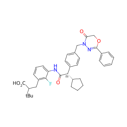 CC(C)(C)C(Cc1cccc(NC(=O)[C@H](c2ccc(CN3N=C(c4ccccc4)OCC3=O)cc2)C2CCCC2)c1F)C(=O)O